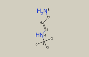 CC(C)(C)NC=CCN